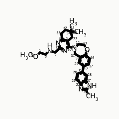 COCCNCc1nc2c(c(N3CCOc4ccc(-c5ccc6nc(C)[nH]c6c5)cc4C3)n1)CC(C)(C)CC2